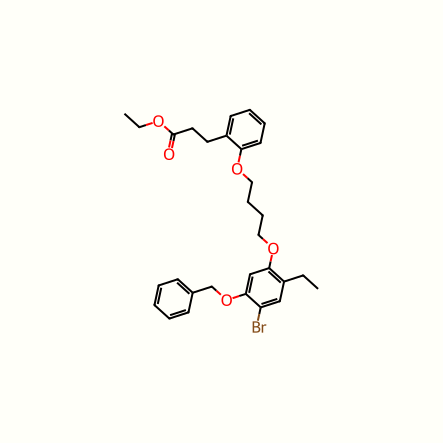 CCOC(=O)CCc1ccccc1OCCCCOc1cc(OCc2ccccc2)c(Br)cc1CC